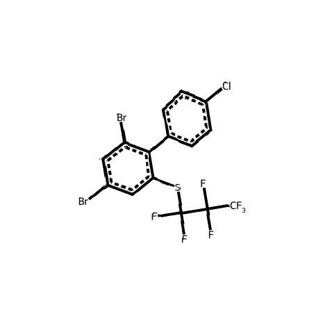 FC(F)(F)C(F)(F)C(F)(F)Sc1cc(Br)[c]c(Br)c1-c1ccc(Cl)cc1